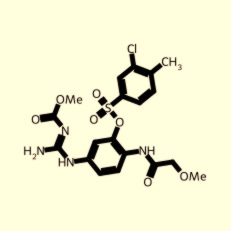 COCC(=O)Nc1ccc(NC(N)=NC(=O)OC)cc1OS(=O)(=O)c1ccc(C)c(Cl)c1